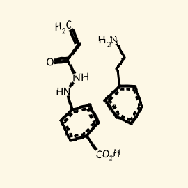 C=CC(=O)NNc1ccc(C(=O)O)cc1.NCCc1ccccc1